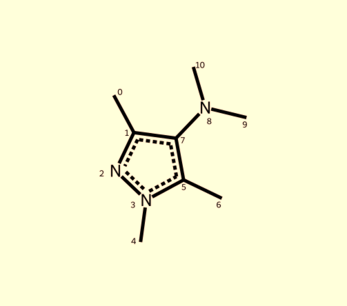 Cc1nn(C)c(C)c1N(C)C